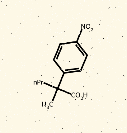 CCCC(C)(C(=O)O)c1ccc([N+](=O)[O-])cc1